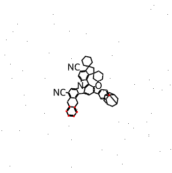 N#Cc1cc2c(c3c1C1c4ccccc4C3c3ccccc31)c1cc3c4cc5c(cc4oc3c3c4c6c(c(C#N)cc4n2c13)C1(CCCCC1)CC61CCCCC1)C1CC2CC(C1)CC5C2